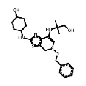 CC(C)(CO)NC1=CN(SCc2ccccc2)Cc2sc(NC3CCC(O)CC3)nc21